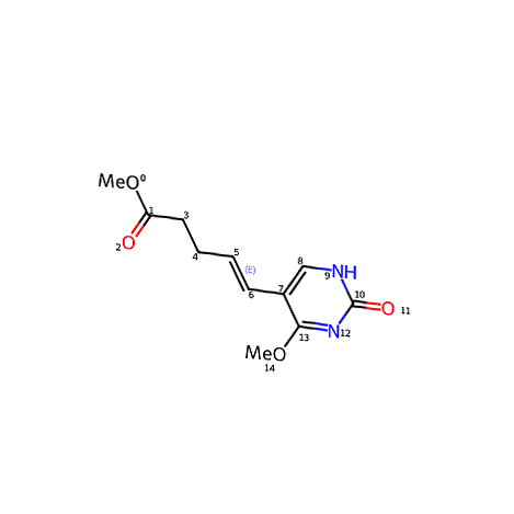 COC(=O)CC/C=C/c1c[nH]c(=O)nc1OC